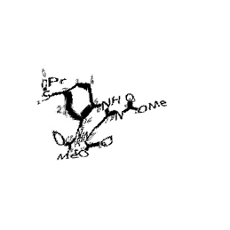 CCCSc1ccc(NC(=NC(=O)OC)NC(=O)OC)c(NC(=O)CC)c1